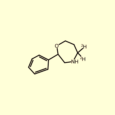 [2H]C1([2H])CCOC(c2ccccc2)CN1